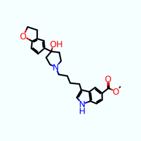 COC(=O)c1ccc2[nH]cc(CCCCN3CCC(O)(c4ccc5c(c4)CCO5)CC3)c2c1